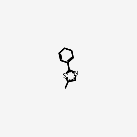 Cc1cnc(C2=CCCC=C2)s1